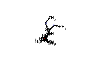 CCCCCCCC/C=C\CCCCCCCC(=O)OC[C@H](COP(=O)(O)OCCNc1ccc(-c2c3ccc(=[N+](CC)CC)cc-3oc3cc(N(CC)CC)ccc23)c(S(=O)(=O)O)c1)OC(=O)CCCCCCC/C=C\CCCCCCCC